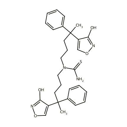 CC(CCCN(CCCC(C)(c1ccccc1)c1conc1O)C(N)=S)(c1ccccc1)c1conc1O